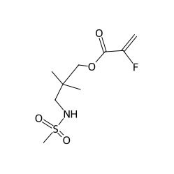 C=C(F)C(=O)OCC(C)(C)CNS(C)(=O)=O